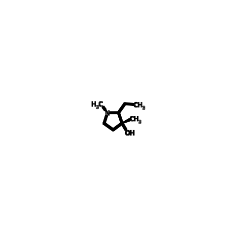 CCC1N(C)CC[C@@]1(C)O